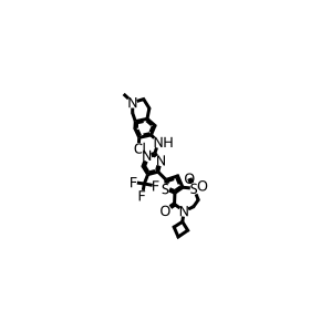 CN1CCc2cc(Nc3ncc(C(F)(F)F)c(-c4cc5c(s4)C(=O)N(C4CCC4)CCS5(=O)=O)n3)c(Cl)cc2C1